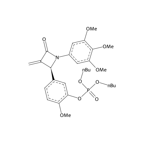 C=C1C(=O)N(c2cc(OC)c(OC)c(OC)c2)[C@H]1c1ccc(OC)c(OP(=O)(OCCCC)OCCCC)c1